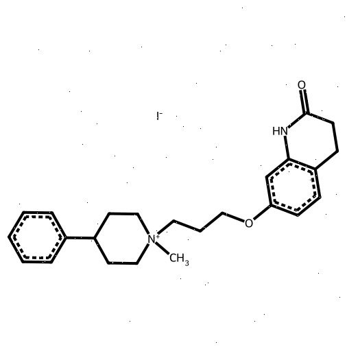 C[N+]1(CCCOc2ccc3c(c2)NC(=O)CC3)CCC(c2ccccc2)CC1.[I-]